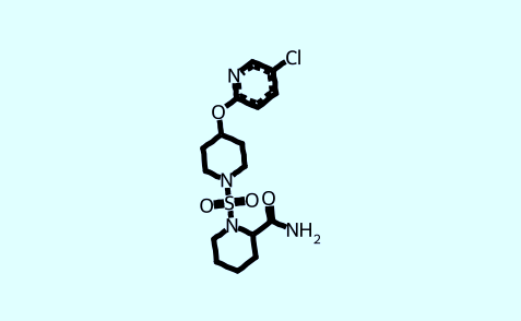 NC(=O)C1CCCCN1S(=O)(=O)N1CCC(Oc2ccc(Cl)cn2)CC1